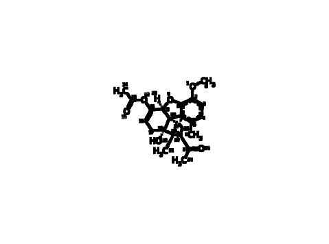 COc1ccc(C)c2c1O[C@@H]1C(OC(C)=O)=CC[C@]3(O)[C@H](C)N(C(C)=O)CC[C@@]213